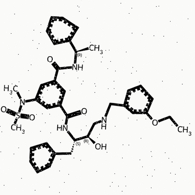 CCOc1cccc(CNC[C@@H](O)[C@H](Cc2ccccc2)NC(=O)c2cc(C(=O)N[C@H](C)c3ccccc3)cc(N(C)S(C)(=O)=O)c2)c1